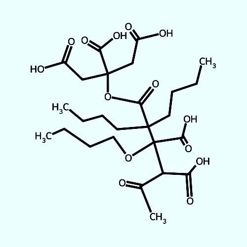 CCCCOC(C(=O)O)(C(C(C)=O)C(=O)O)C(CCCC)(CCCC)C(=O)OC(CC(=O)O)(CC(=O)O)C(=O)O